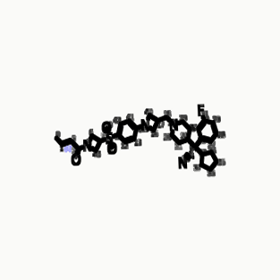 C/C=C/C(=O)N1CC(S(=O)(=O)c2ccc(N3CC(CN4CCC([C@@](C#N)(c5cccc(F)c5)C5CCCC5)CC4)C3)cc2)C1